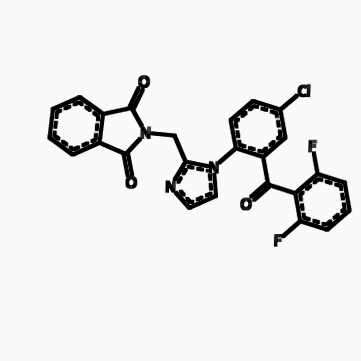 O=C(c1cc(Cl)ccc1-n1ccnc1CN1C(=O)c2ccccc2C1=O)c1c(F)cccc1F